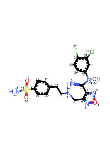 N=C(c1nonc1CNCCc1ccc(S(N)(=O)=O)cc1)N(O)c1ccc(F)c(Cl)c1